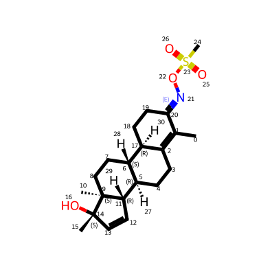 CC1=C2CC[C@@H]3[C@H](CC[C@@]4(C)[C@H]3C=C[C@]4(C)O)[C@H]2CC/C1=N\OS(C)(=O)=O